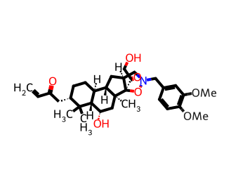 C=CC(=O)C[C@@H]1CC[C@@H]2[C@H]([C@@H](O)C[C@@]3(C)[C@H]2C[C@H]2CN(Cc4ccc(OC)c(OC)c4)O[C@]23C(=O)CO)C1(C)C